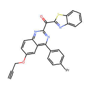 C#CCOc1ccc2nc(C(=O)c3nc4ccccc4s3)nc(-c3ccc(C(C)C)cc3)c2c1